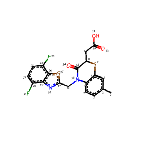 Cc1ccc2c(c1)SC(CC(=O)O)C(=O)N2Cc1nc2c(F)ccc(F)c2s1